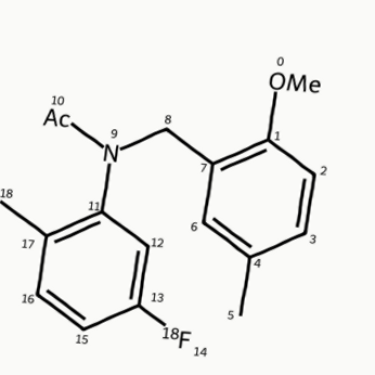 COc1ccc(C)cc1CN(C(C)=O)c1cc([18F])ccc1C